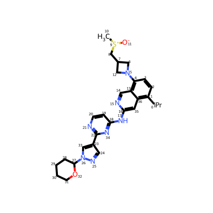 CC(C)c1ccc(N2CC(C[S+](C)[O-])C2)c2cnc(Nc3ccnc(-c4cnn(C5CCCCO5)c4)n3)cc12